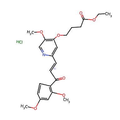 CCOC(=O)CCCOc1cc(/C=C/C(=O)c2ccc(OC)cc2OC)ncc1OC.Cl